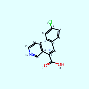 O=C(O)/C(=C/c1ccc(Cl)cc1)c1cccnc1